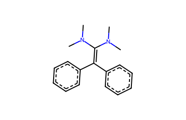 CN(C)C(=C(c1ccccc1)c1ccccc1)N(C)C